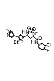 CCc1sc(C2CC(C(=O)Nc3ccc(F)c(Cl)c3)N(C)S(=O)(=O)N2)cc1-c1cnn(C)c1